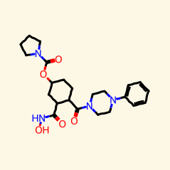 O=C(NO)C1CC(OC(=O)N2CCCC2)CCC1C(=O)N1CCN(c2ccccc2)CC1